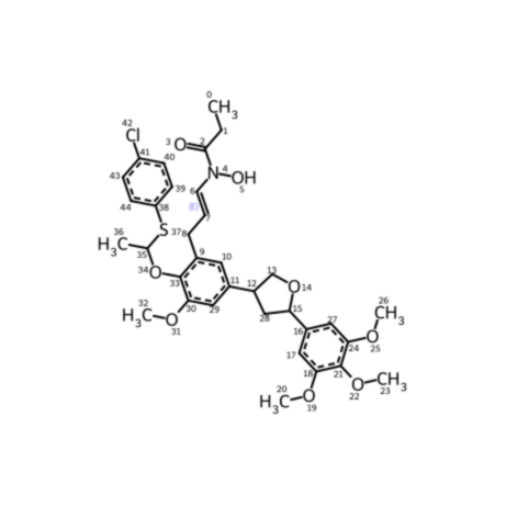 CCC(=O)N(O)/C=C/Cc1cc(C2COC(c3cc(OC)c(OC)c(OC)c3)C2)cc(OC)c1OC(C)Sc1ccc(Cl)cc1